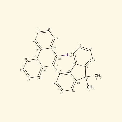 CC1(C)c2ccccc2-c2c(-c3c(I)c4ccccc4c4ccccc34)cccc21